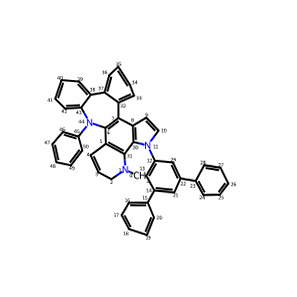 CN1CC=Cc2c3c(c4ccn(-c5cc(-c6ccccc6)cc(-c6ccccc6)c5)c4c21)-c1ccccc1-c1ccccc1N3c1ccccc1